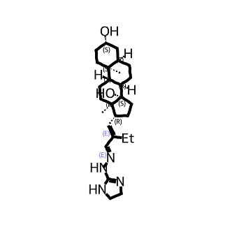 CCC(/C=N/NC1=NCCN1)=C\[C@H]1CC[C@]2(O)[C@@H]3CC[C@@H]4C[C@@H](O)CC[C@]4(C)[C@H]3CC[C@]12C